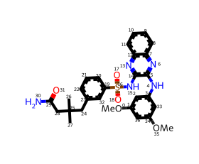 COc1cc(Nc2nc3ccccc3nc2NS(=O)(=O)c2cccc(CC(C)(C)CC(N)=O)c2)cc(OC)c1